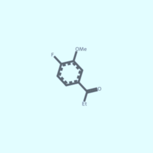 CCC(=O)c1ccc(F)c(OC)c1